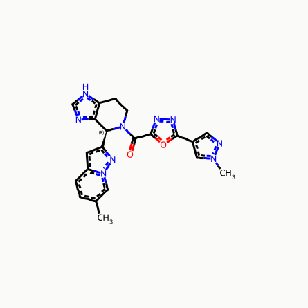 Cc1ccc2cc([C@H]3c4nc[nH]c4CCN3C(=O)c3nnc(-c4cnn(C)c4)o3)nn2c1